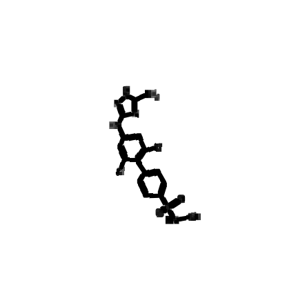 CC(C)(C)NS(=O)(=O)c1ccc(-c2c(Cl)cc(Nc3n[nH]c(N)n3)cc2Cl)cc1